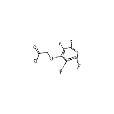 O=C(Cl)COc1c(F)c(F)cc(F)c1F